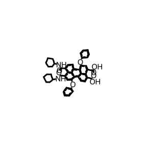 O=C(O)c1ccc2c3c(Oc4ccccc4)cc(C(=O)NC4CCCCC4)c4c(C(=O)NC5CCCCC5)ccc(c5c(Oc6ccccc6)cc(C(=O)O)c1c25)c43